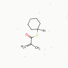 C=C(C)C(=O)SC1(CC)CCCCC1